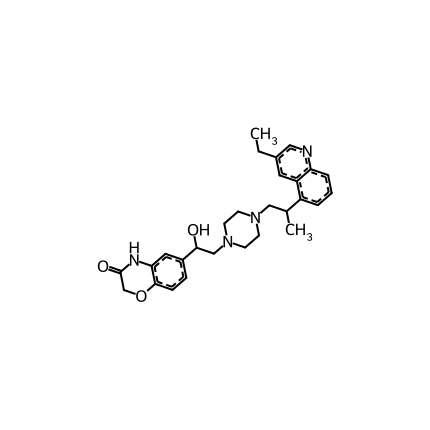 CCc1cnc2cccc(C(C)CN3CCN(CC(O)c4ccc5c(c4)NC(=O)CO5)CC3)c2c1